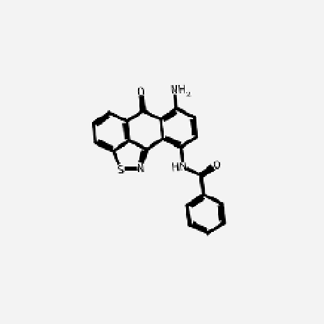 Nc1ccc(NC(=O)c2ccccc2)c2c1C(=O)c1cccc3snc-2c13